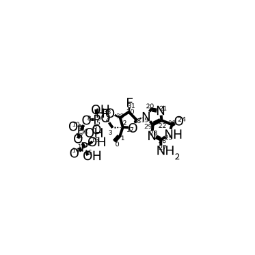 C=C[C@]1(COP(=O)(O)OP(=O)(O)OP(=O)(O)O)O[C@@H](n2cnc3c(=O)[nH]c(N)nc32)[C@H](F)[C@@H]1O